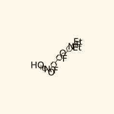 CCC(F)(CC)CN1CCC(COc2ccc(-c3ccc(C(=O)N4CC[C@H](O)C4)c(F)c3)cc2F)CC1